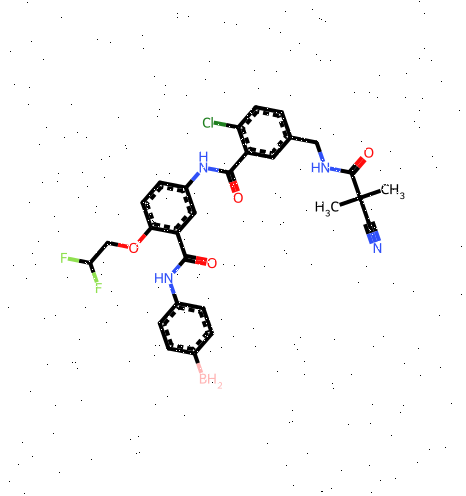 Bc1ccc(NC(=O)c2cc(NC(=O)c3cc(CNC(=O)C(C)(C)C#N)ccc3Cl)ccc2OCC(F)F)cc1